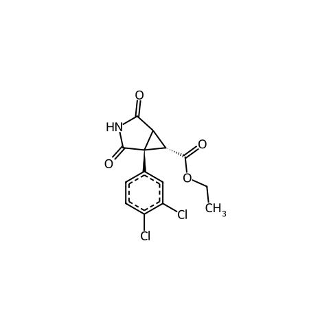 CCOC(=O)[C@H]1C2C(=O)NC(=O)[C@]21c1ccc(Cl)c(Cl)c1